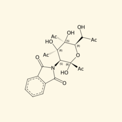 CC(=O)C(O)[C@H]1O[C@@](O)(C(C)=O)[C@@H](N2C(=O)c3ccccc3C2=O)[C@](O)(C(C)=O)[C@]1(O)C(C)=O